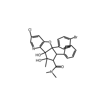 CN(C)C(=O)C1C(c2ccccc2)C2(c3ccc(Br)cc3)Oc3cc(Cl)cnc3C2(O)C1(C)O